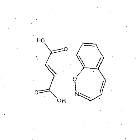 C1=Cc2ccccc2ON=C1.O=C(O)C=CC(=O)O